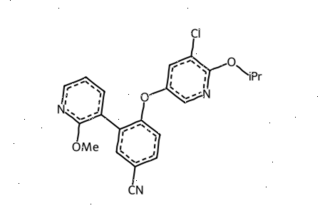 COc1ncccc1-c1cc(C#N)ccc1Oc1cnc(OC(C)C)c(Cl)c1